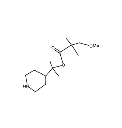 COCC(C)(C)C(=O)OC(C)(C)C1CCNCC1